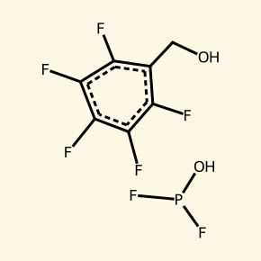 OCc1c(F)c(F)c(F)c(F)c1F.OP(F)F